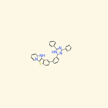 C1=CC2Nc3c(sc4ccc(-c5cccc(C6N=C(c7ccccc7)N=C(c7ccccc7)N6)c5)cc34)N2C=C1